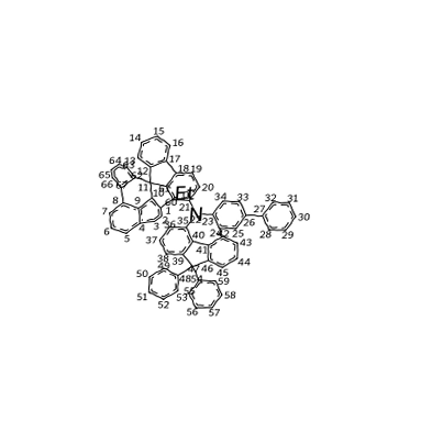 CCc1ccc2cccc3c2c1C1(c2ccccc2-c2ccc(N(c4ccc(-c5ccccc5)cc4)c4cccc5c4-c4ccccc4C5(c4ccccc4)c4ccccc4)cc21)c1ccccc1-3